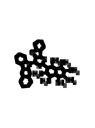 Bc1c(B)c(B)c2c(B)c(-c3nc(-n4c5ccccc5c5cc6ccccc6cc54)c4oc5ccccc5c4n3)c(B)c(B)c2c1B